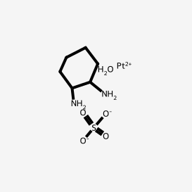 NC1CCCCC1N.O.O=S(=O)([O-])[O-].[Pt+2]